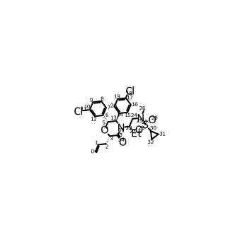 C=CC[C@@H]1O[C@H](c2cccc(Cl)c2)[C@@H](c2ccc(Cl)cc2)N([C@H](CC)CN(C)S(=O)(=O)C2CC2)C1=O